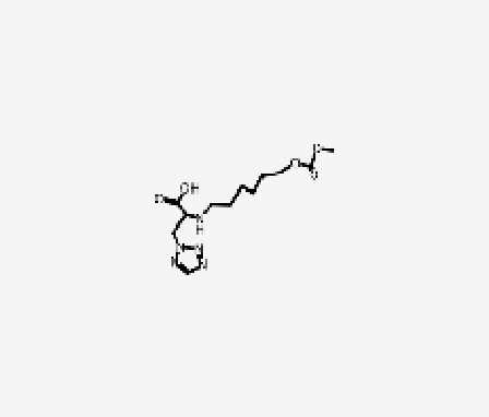 COC(=O)OCCCCCCNC(Cn1ncnn1)C(=O)O